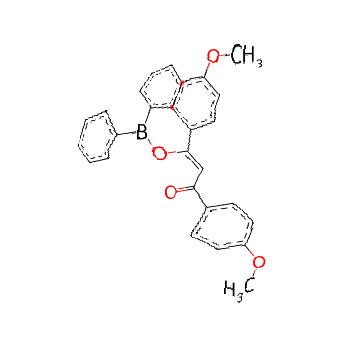 COc1ccc(C(=O)/C=C(\OB(c2ccccc2)c2ccccc2)c2ccc(OC)cc2)cc1